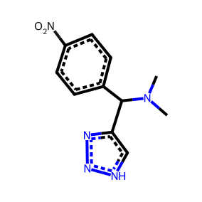 CN(C)C(c1ccc([N+](=O)[O-])cc1)c1c[nH]nn1